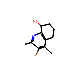 Cc1nc2c(c(C)c1Br)CCCC2O